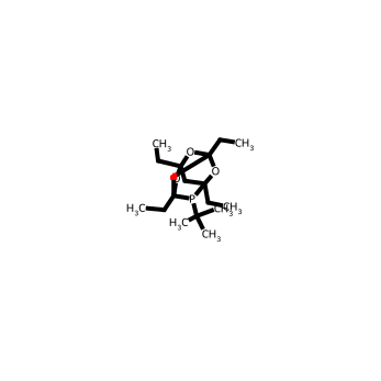 CCC12CC3(CC)OC(CC)(CC(CC)(O1)P3C(C)(C)C)O2